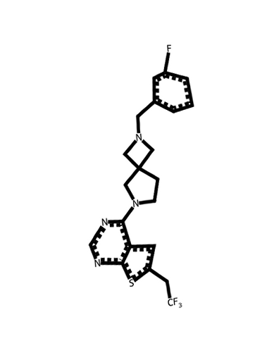 Fc1cccc(CN2CC3(CCN(c4ncnc5sc(CC(F)(F)F)cc45)C3)C2)c1